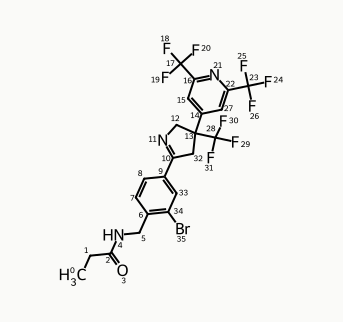 CCC(=O)NCc1ccc(C2=NCC(c3cc(C(F)(F)F)nc(C(F)(F)F)c3)(C(F)(F)F)C2)cc1Br